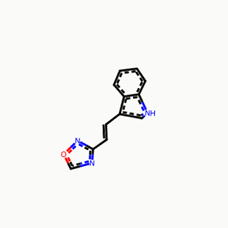 C(=C\c1c[nH]c2ccccc12)/c1ncon1